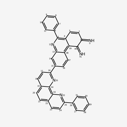 N=C1C=Cc2c(-c3ccccc3)nc3cc(-c4ccc5ccc6ccc(-c7ccccc7)nc6c5n4)ccc3c2C1=N